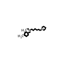 CCN(CCCCCCN1CC[CH]CC1)Cc1ccc(C)cc1